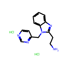 Cl.Cl.NCCc1nc2ccccc2n1Cc1ccncn1